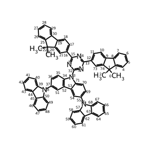 CC1(C)c2ccccc2-c2ccc(-c3nc(-c4ccc5c(c4)C(C)(C)c4ccccc4-5)nc(-n4c5ccc(-n6c7ccccc7c7ccccc76)cc5c5cc(-n6c7ccccc7c7ccccc76)ccc54)n3)cc21